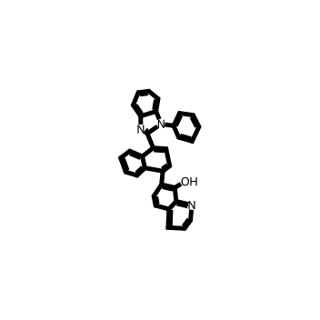 Oc1c(-c2ccc(-c3nc4ccccc4n3-c3ccccc3)c3ccccc23)ccc2cccnc12